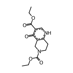 CCOC(=O)c1c[nH]c2c(c1=O)CN(C(=O)OCC)CC2